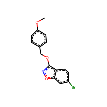 COc1ccc(COc2noc3cc(Br)ccc23)cc1